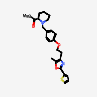 COC(=O)[C@H]1CCCCN1Cc1ccc(OCCc2nc(-c3cccs3)oc2C)cc1